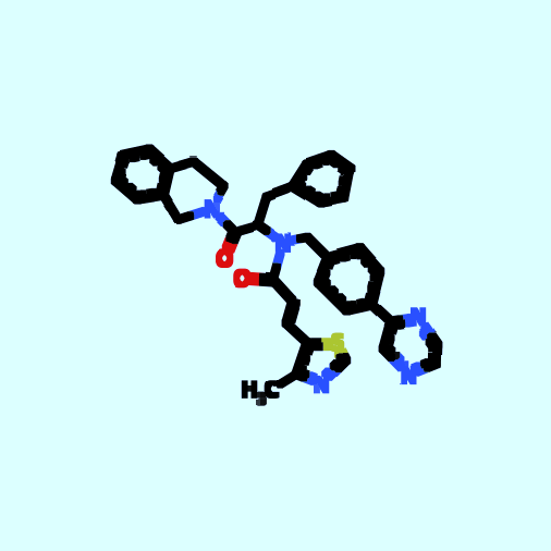 Cc1ncsc1C=CC(=O)N(Cc1ccc(-c2cnccn2)cc1)C(Cc1ccccc1)C(=O)N1CCc2ccccc2C1